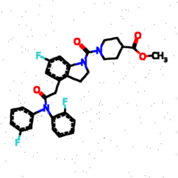 COC(=O)C1CCN(C(=O)N2CCc3c(CC(=O)N(c4cccc(F)c4)c4ccccc4F)cc(F)cc32)CC1